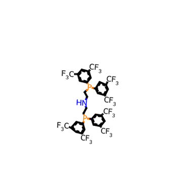 FC(F)(F)c1cc(P(CCNCCP(c2cc(C(F)(F)F)cc(C(F)(F)F)c2)c2cc(C(F)(F)F)cc(C(F)(F)F)c2)c2cc(C(F)(F)F)cc(C(F)(F)F)c2)cc(C(F)(F)F)c1